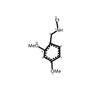 CCNCc1ccc(OC)cc1OC